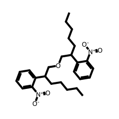 CCCCCC(COCC(CCCCC)c1ccccc1[N+](=O)[O-])c1ccccc1[N+](=O)[O-]